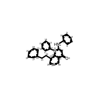 O=c1cc(Nc2ccccc2)n(-c2ccccc2)c2c(CCc3ccccc3)cncc12